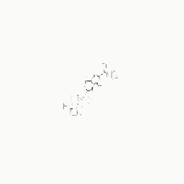 O=C(N[C@@H]1C[C@@H]2CCN(C2)C1)c1cc2oc(C(=O)N3CCC3)cc2cn1